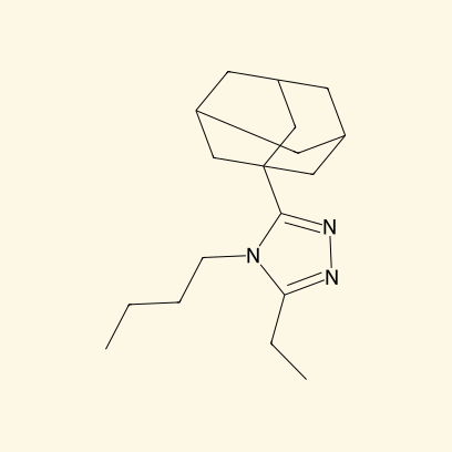 CCCCn1c(CC)nnc1C12CC3CC(CC(C3)C1)C2